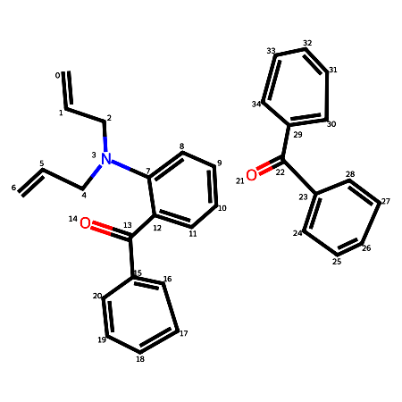 C=CCN(CC=C)c1ccccc1C(=O)c1ccccc1.O=C(c1ccccc1)c1ccccc1